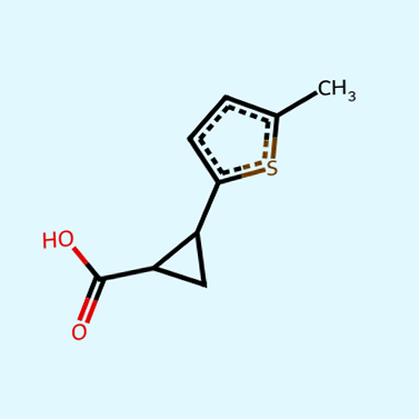 Cc1ccc(C2CC2C(=O)O)s1